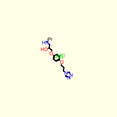 CC(C)NCC(O)COc1ccc(OCCCn2cnnc2)cc1.Cl.Cl